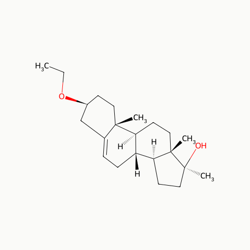 CCO[C@H]1CC[C@@]2(C)C(=CC[C@@H]3[C@@H]2CC[C@@]2(C)[C@H]3CC[C@]2(C)O)C1